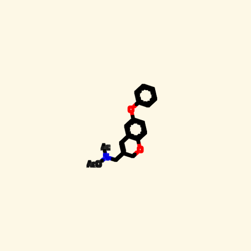 CC(=O)ON(CC1=Cc2cc(Oc3ccccc3)ccc2OC1)C(C)=O